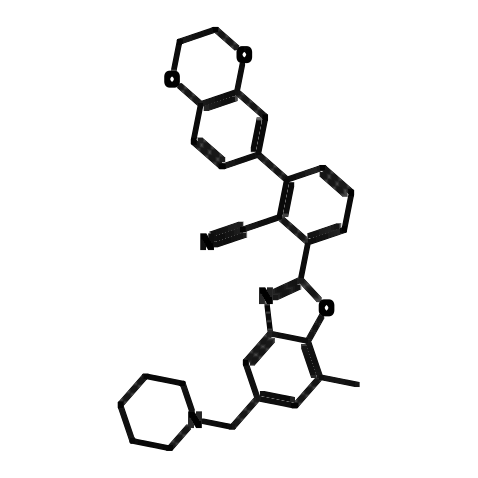 Cc1cc(CN2CCCCC2)cc2nc(-c3cccc(-c4ccc5c(c4)OCCO5)c3C#N)oc12